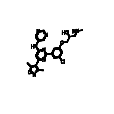 CNCC(O)COc1cc(Cl)cc(-c2nc(Nc3cncnc3)cc(-c3c(C)noc3C)n2)c1